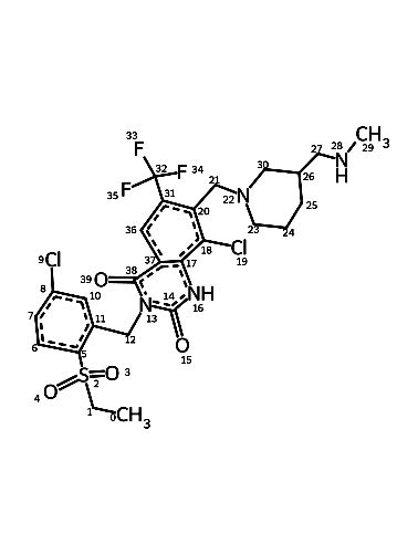 CCS(=O)(=O)c1ccc(Cl)cc1Cn1c(=O)[nH]c2c(Cl)c(CN3CCCC(CNC)C3)c(C(F)(F)F)cc2c1=O